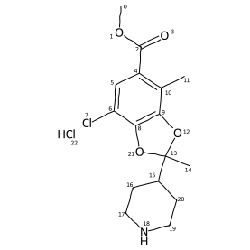 COC(=O)c1cc(Cl)c2c(c1C)OC(C)(C1CCNCC1)O2.Cl